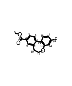 COC(=O)c1ccc2c(c1)CCOc1cc(F)ccc1-2